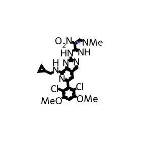 CN/C=C(\C(=N)Nc1ncc2cc(-c3c(Cl)c(OC)cc(OC)c3Cl)nc(NCC3CC3)c2n1)[N+](=O)[O-]